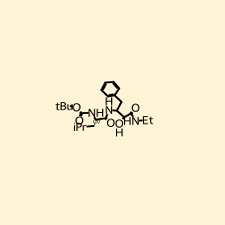 CCNC(=O)C(O)C(Cc1ccccc1)NC(=O)[C@H](CC(C)C)NC(=O)OC(C)(C)C